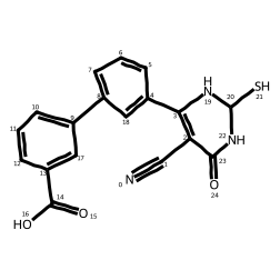 N#CC1=C(c2cccc(-c3cccc(C(=O)O)c3)c2)NC(S)NC1=O